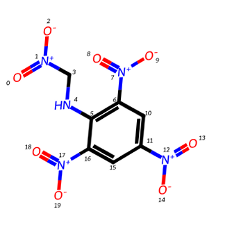 O=[N+]([O-])CNc1c([N+](=O)[O-])cc([N+](=O)[O-])cc1[N+](=O)[O-]